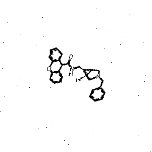 O=C(NC[C@H]1C2CN(Cc3ccccc3)C[C@@H]21)C1c2ccccc2Oc2ccccc21